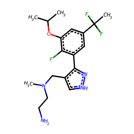 CC(C)Oc1cc(C(C)(F)F)cc(-c2n[nH]cc2CN(C)CCN)c1F